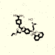 CCOC(=O)Cn1c(Cc2ccc(C(=N)N)cc2)nc2cc(N(CCN(C)C)S(=O)(=O)c3cccc4cccnc34)ccc21.Cl